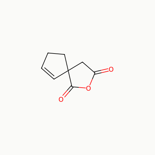 O=C1CC2(C=CCC2)C(=O)O1